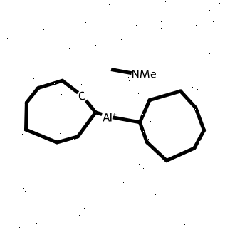 C1CCC[CH]([Al+][CH]2CCCCCCC2)CCC1.C[N-]C